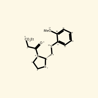 CCOC(=O)CC(=O)N1CCS[C@H]1CSc1ccccc1OC